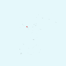 CC(C)(C)OC(=O)Nc1sc2c(F)ccc(-c3c(Cl)cc4c(N5CC6CCC(C5)N6C(=O)OC(C)(C)C)nc(C[C@]5(CC6(CC(=O)O)CNCCC67CCCCC7)CC5(F)F)nc4c3F)c2c1C#N